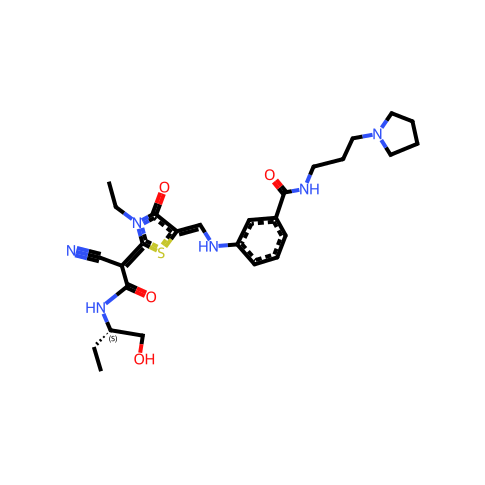 CC[C@@H](CO)NC(=O)C(C#N)=c1sc(=CNc2cccc(C(=O)NCCCN3CCCC3)c2)c(=O)n1CC